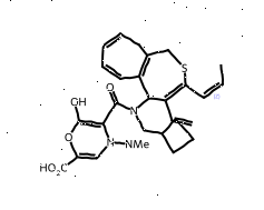 C=CC1=C(/C=C\C)SCC2=C(C=CC=CC2)C1N(CC1CCC1)C(=O)C1=C(O)OC(C(=O)O)=CN1NC